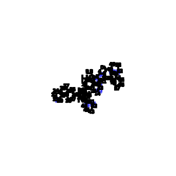 C=C(/C(C)=C/C(=C(/O)CC)C(/C)=C(/C=C\C)c1cccc(-c2nc(C3=CC(C)=C(C(/C=C\C)=C(C)C)CC3)nc(C(/C=C\C)=C/C)n2)c1)/C(C)=C1/C(=C\C)c2ccccc2C1C